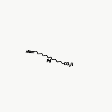 CCCCCCCCCCCCCCCCCCCCCC(=O)O.[Pd]